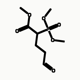 COC(=O)C(CCC=O)P(=O)(OC)OC